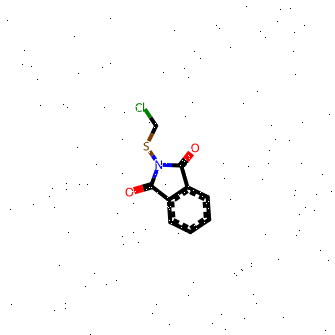 O=C1c2ccccc2C(=O)N1SCCl